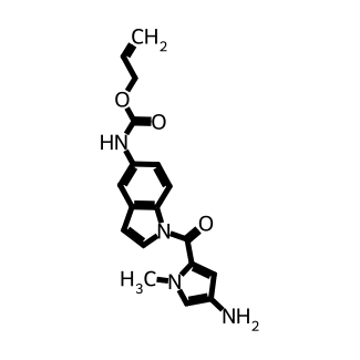 C=CCOC(=O)Nc1ccc2c(ccn2C(=O)c2cc(N)cn2C)c1